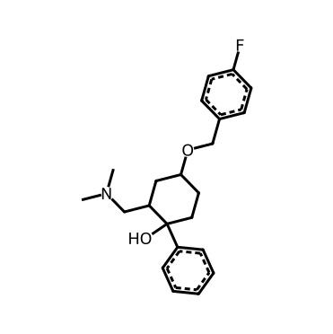 CN(C)CC1CC(OCc2ccc(F)cc2)CCC1(O)c1ccccc1